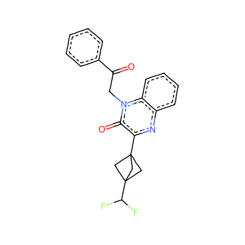 O=C(Cn1c(=O)c(C23CC(C(F)F)(C2)C3)nc2ccccc21)c1ccccc1